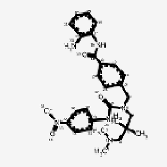 CN(C)CC(C)(C)CN(Cc1ccc(C(=O)Nc2ccccc2N)cc1)C(=O)Nc1ccc([N+](=O)[O-])cc1